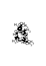 CN(C[C@H]1O[C@@H](n2cnc3c(N)ncnc32)[C@@H]2OC(C)(C)O[C@@H]21)CC1(CNC(=O)Nc2ccc(C(C)(C)C)cc2)CC1